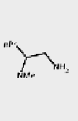 CCCC(CN)NC